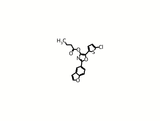 CCCC(=O)Oc1nc(-c2ccc3occc3c2)oc1-c1ccc(Cl)s1